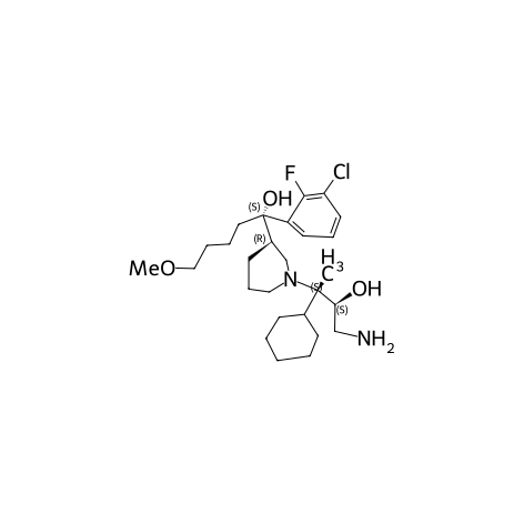 COCCCC[C@@](O)(c1cccc(Cl)c1F)[C@@H]1CCCN([C@@](C)(C2CCCCC2)[C@@H](O)CN)C1